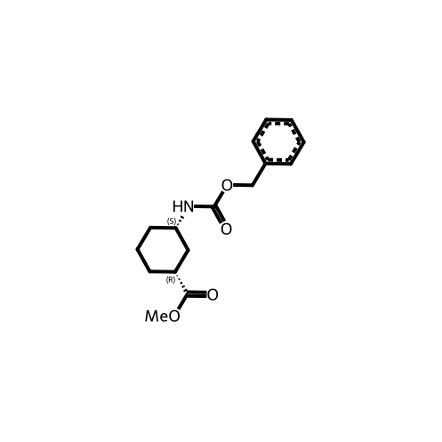 COC(=O)[C@@H]1CCC[C@H](NC(=O)OCc2ccccc2)C1